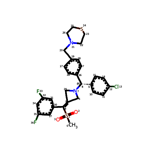 CS(=O)(=O)C(=C1CN([C@@H](c2ccc(Cl)cc2)c2ccc(CN3CCSCC3)cc2)C1)c1cc(F)cc(F)c1